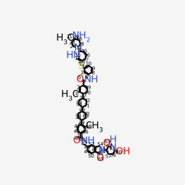 CC1=CC(C(=O)Nc2cccc(SC3=CNC(N4CCC(C)(N)CC4)C=CC3)c2)=CCC1C1CCC(C2CCC(c3ccc(C(=O)NCc4ccc5c(c4)CN(C4CCC(O)NC4=O)C5=O)cc3C)CC2)CC1